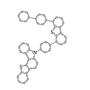 c1ccc(-c2ccc(-c3cccc4c3sc3c(-c5ccc(-n6c7ccccc7c7c8sc9ccccc9c8ccc76)cc5)cccc34)cc2)cc1